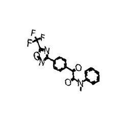 CN(C(=O)C(=O)c1ccc(-c2noc(C(F)(F)F)n2)cc1)c1ccccc1